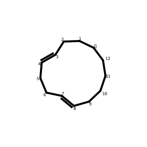 [CH]1CC/C=C/CC/C=C/CCCC1